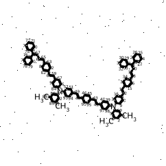 Cc1cc(C)cc(N(c2ccc(/C=C/c3ccc(/C=C/C=C(c4ccccc4)c4ccccc4)cc3)cc2)c2ccc(/C=C/c3ccc(/C=C/c4ccc(N(c5ccc(/C=C/c6ccc(/C=C/C=C(c7ccccc7)c7ccccc7)cc6)cc5)c5cc(C)cc(C)c5)cc4)cc3)cc2)c1